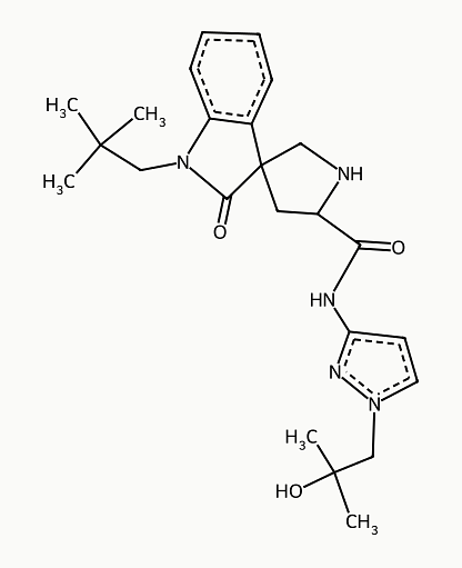 CC(C)(C)CN1C(=O)C2(CNC(C(=O)Nc3ccn(CC(C)(C)O)n3)C2)c2ccccc21